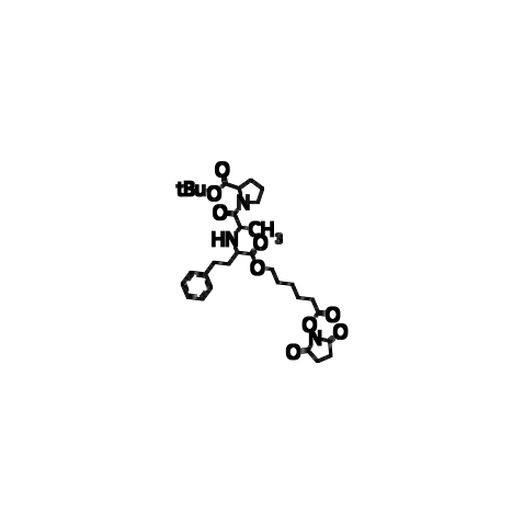 CC(NC(CCc1ccccc1)C(=O)OCCCCCC(=O)ON1C(=O)CCC1=O)C(=O)N1CCCC1C(=O)OC(C)(C)C